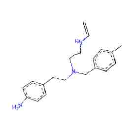 C=CNCCN(CCc1ccc(N)cc1)Cc1ccc(C)cc1